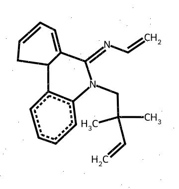 C=C/N=C1/C2=CC=CCC2c2ccccc2N1CC(C)(C)C=C